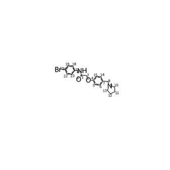 O=C(COc1ccc(CN2CCCC2)cc1)Nc1ccc(Br)cc1